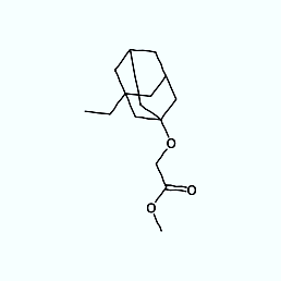 CCC12CC3CC(C1)CC(OCC(=O)OC)(C3)C2